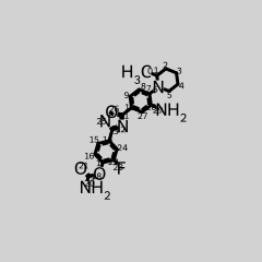 CC1CCCCN1c1ccc(-c2nc(-c3ccc(OC(N)=O)c(F)c3)no2)cc1N